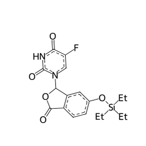 CC[Si](CC)(CC)Oc1ccc2c(c1)C(n1cc(F)c(=O)[nH]c1=O)OC2=O